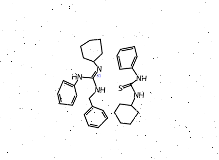 S=C(Nc1ccccc1)NC1CCCCC1.c1ccc(CN/C(=N/C2CCCCC2)Nc2ccccc2)cc1